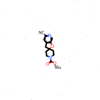 CC(C)(C)OC(=O)N1CCC2(CC1)Cc1cc(C#N)ncc1O2